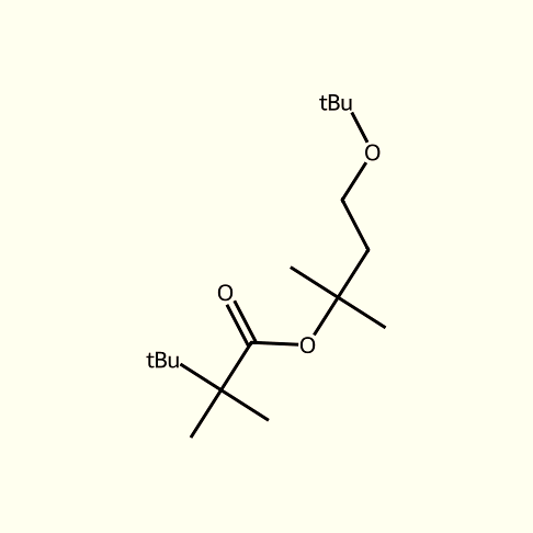 CC(C)(C)OCCC(C)(C)OC(=O)C(C)(C)C(C)(C)C